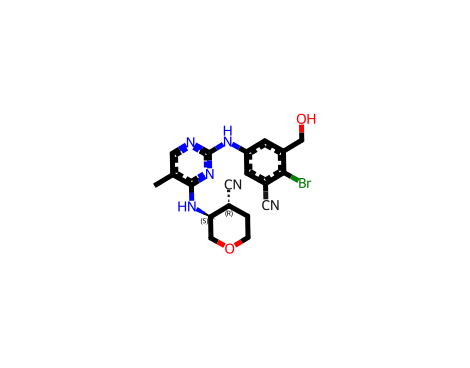 Cc1cnc(Nc2cc(C#N)c(Br)c(CO)c2)nc1N[C@@H]1COCC[C@H]1C#N